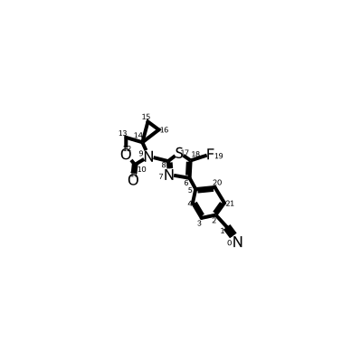 N#Cc1ccc(-c2nc(N3C(=O)OCC34CC4)sc2F)cc1